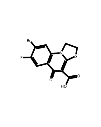 O=C(O)c1c2n(c3cc(Br)c(F)cc3c1=O)CCS2